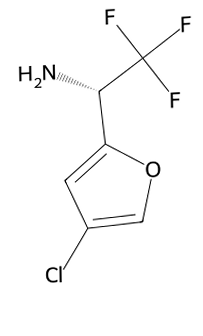 N[C@@H](c1cc(Cl)co1)C(F)(F)F